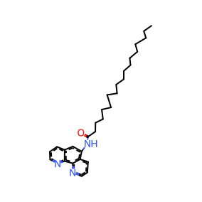 CCCCCCCCCCCCCCCCCC(=O)Nc1cc2cccnc2c2ncccc12